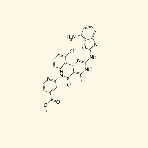 COC(=O)c1ccnc(NC(=O)C2=C(C)NC(Nc3nc4cccc(N)c4o3)=NC2c2ccccc2Cl)c1